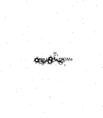 COCOC(CCCC(C)[C@H]1CC[C@H]2/C(=C/CS(=O)(=O)c3nc4ccccc4s3)CCC[C@]12C)(C(F)(F)F)C(F)(F)F